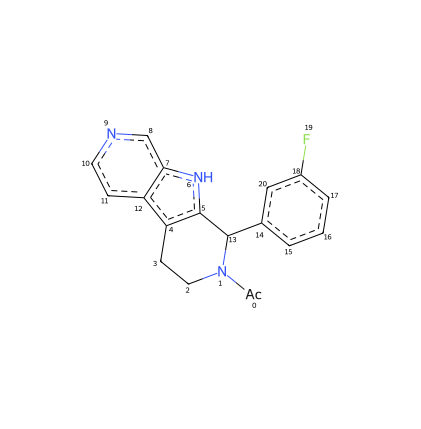 CC(=O)N1CCc2c([nH]c3cnccc23)C1c1cccc(F)c1